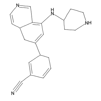 N#CC1=CC(C2=CC(NC3CCNCC3)=C3C=NC=CC3C2)CC=C1